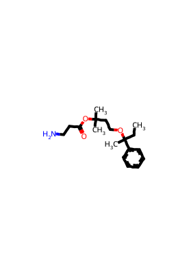 CCC(C)(OCCC(C)(C)OC(=O)CCN)c1ccccc1